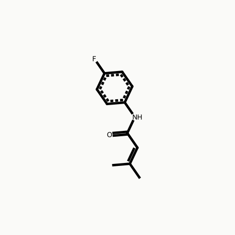 CC(C)=CC(=O)Nc1ccc(F)cc1